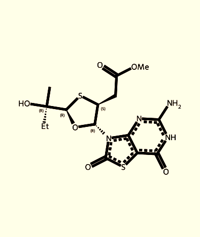 CC[C@@](C)(O)[C@@H]1O[C@@H](n2c(=O)sc3c(=O)[nH]c(N)nc32)[C@H](CC(=O)OC)S1